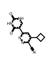 N#Cc1nnc(-c2c[nH]c(=O)[nH]c2=O)cc1C1CCC1